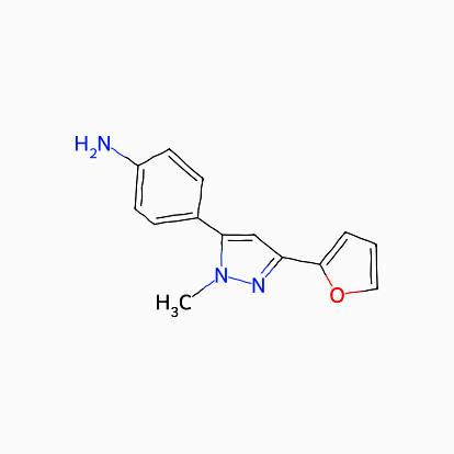 Cn1nc(-c2ccco2)cc1-c1ccc(N)cc1